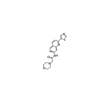 O=C(CN1CCOCC1)Nc1cc2nc(-c3cncs3)ccc2cn1